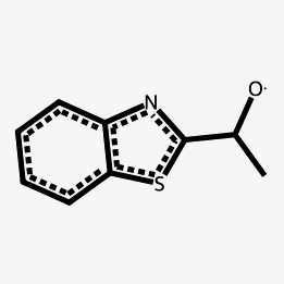 CC([O])c1nc2ccccc2s1